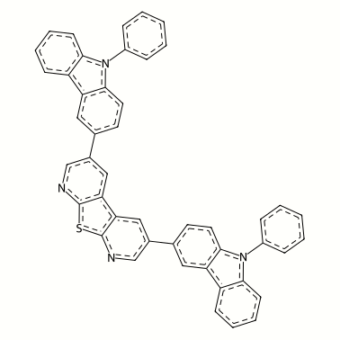 c1ccc(-n2c3ccccc3c3cc(-c4cnc5sc6ncc(-c7ccc8c(c7)c7ccccc7n8-c7ccccc7)cc6c5c4)ccc32)cc1